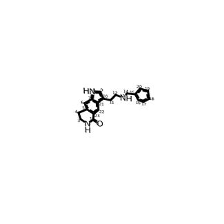 O=C1NCCc2cc3[nH]cc(CCNCc4ccccc4)c3cc21